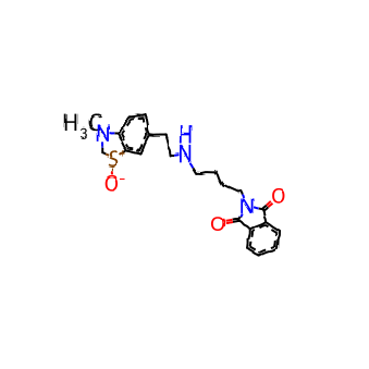 CN1C[S+]([O-])c2cc(CCNCCCCN3C(=O)c4ccccc4C3=O)ccc21